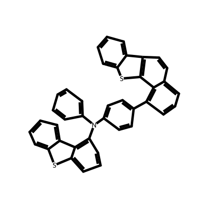 c1ccc(N(c2ccc(-c3cccc4ccc5c6ccccc6sc5c34)cc2)c2cccc3sc4ccccc4c23)cc1